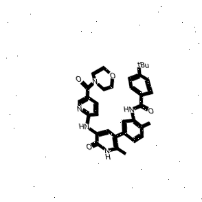 Cc1ccc(-c2cc(Nc3ccc(C(=O)N4CCOCC4)cn3)c(=O)[nH]c2C)cc1NC(=O)c1ccc(C(C)(C)C)cc1